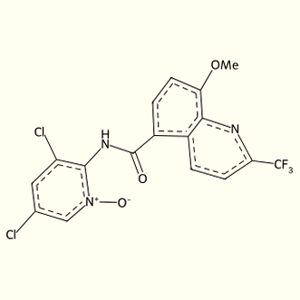 COc1ccc(C(=O)Nc2c(Cl)cc(Cl)c[n+]2[O-])c2ccc(C(F)(F)F)nc12